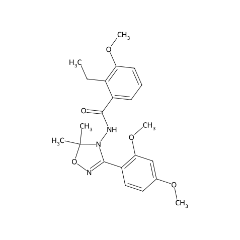 CCc1c(OC)cccc1C(=O)NN1C(c2ccc(OC)cc2OC)=NOC1(C)C